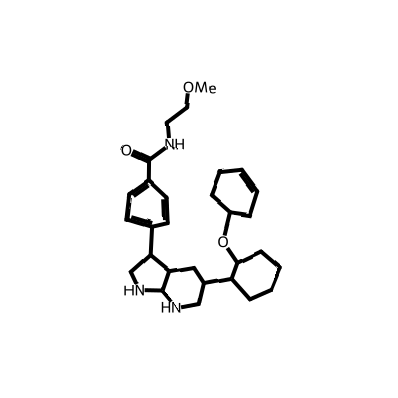 COCCNC(=O)c1ccc(C2CNC3NCC(C4CCCCC4OC4CC=CCC4)CC32)cc1